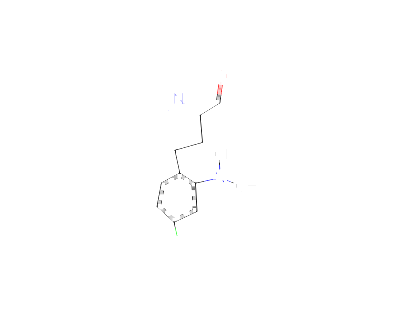 CN(C)c1cc(Cl)ccc1CC[C@H](N)C=O